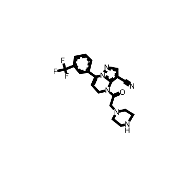 N#Cc1cnn2c1N(C(=O)CN1CCNCC1)CC=C2c1cccc(C(F)(F)F)c1